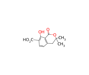 CC1(C)Cc2ccc(C(=O)O)c(O)c2C(=O)O1